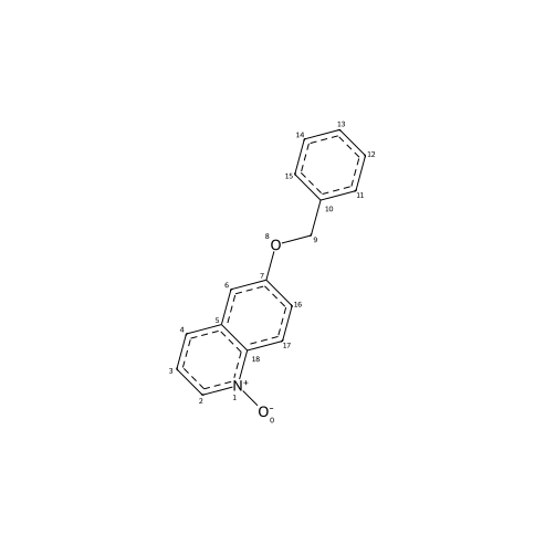 [O-][n+]1cccc2cc(OCc3ccccc3)ccc21